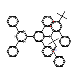 Cc1cc(C(C)(C)C)cc(-c2ccccc2)c1N(c1c(-c2ccccc2)cc(-c2nc(-c3ccccc3)nc(-c3ccccc3)n2)cc1-c1ccccc1)C(C)(C)/C=C/c1ccccc1